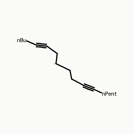 CCCCC#CC[CH]CCC#CCCCCC